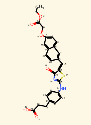 CCOC(=O)COc1ccc2cc(C=C3SC(Nc4ccc(CCC(=O)O)cc4)=NC3=O)ccc2c1